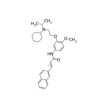 COc1ccc(NC(=O)/C=C/c2ccc3ccccc3c2)cc1OCCN(C(C)C)C1CCCCC1